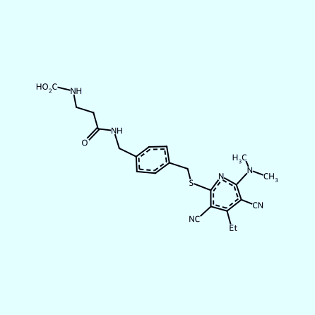 CCc1c(C#N)c(SCc2ccc(CNC(=O)CCNC(=O)O)cc2)nc(N(C)C)c1C#N